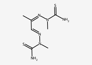 CC(C=NN(C)C(N)=S)=NN(C)C(N)=S